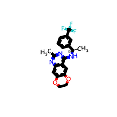 Cc1nc(N[C@@H](C)c2cccc(C(F)(F)F)c2)c2cc3c(cc2n1)OCCO3